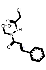 O=[C]CN(NC(=O)CCl)C(=O)/C=C/c1ccccc1